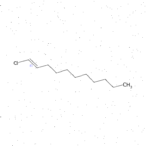 CCCCCCCCC/C=C/Cl